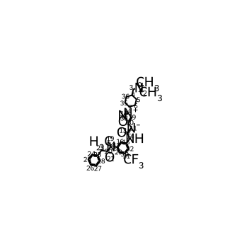 CN(C)CC1CCC([n+]2cc([N-]C(=O)Nc3cc(N(C)C(=O)Cc4ccccc4)cc(C(F)(F)F)c3)on2)CC1